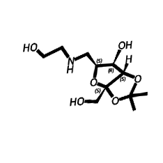 CC1(C)O[C@H]2[C@H](O)[C@H](CNCCO)O[C@@]2(CO)O1